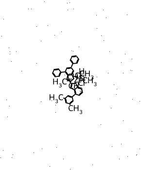 CC1=Cc2c(-c3ccccc3)cc(-c3ccccc3)cc2[CH]1[Zr]([Cl])([Cl])([CH]1C(C(C)C)=Cc2c(-c3cc(C)cc(C)c3)cccc21)[SiH](C)C